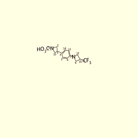 O=C(O)N1CC(c2ccc(N3CC(C(F)(F)F)C3)cc2)C1